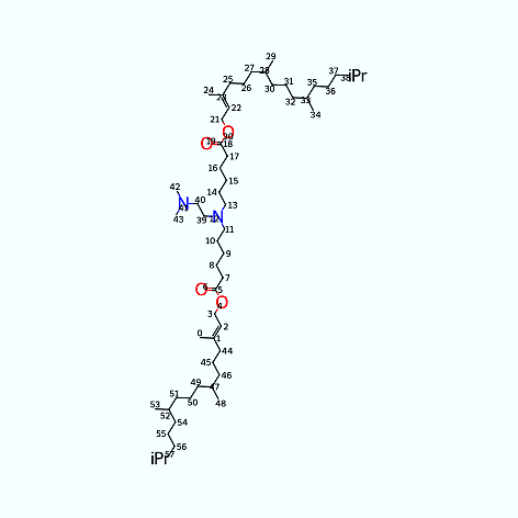 C/C(=C\COC(=O)CCCCCN(CCCCCC(=O)OC/C=C(\C)CCCC(C)CCCC(C)CCCC(C)C)CCN(C)C)CCCC(C)CCCC(C)CCCC(C)C